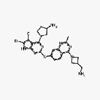 CCc1[nH]c2nc(Sc3ccc4c(N5CC(CN)C5)nc(C)nc4c3)nc(N3CCC(N)C3)c2c1Cl